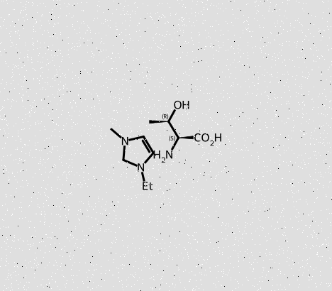 CCN1C=CN(C)C1.C[C@@H](O)[C@H](N)C(=O)O